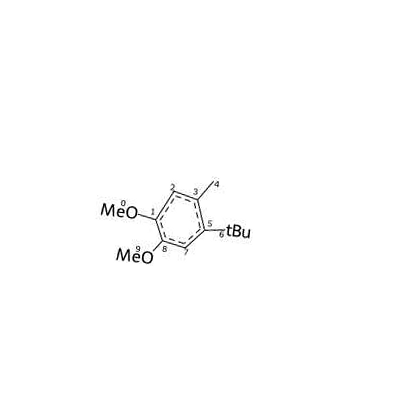 COc1cc(C)c(C(C)(C)C)cc1OC